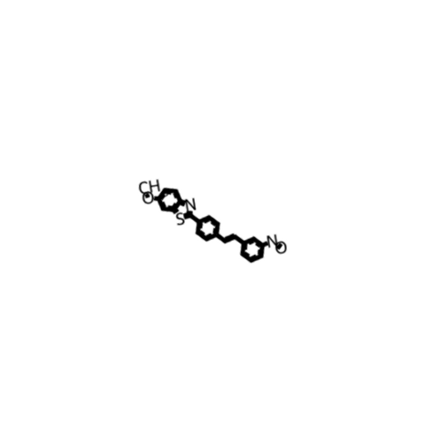 COc1ccc2nc(-c3ccc(/C=C/c4cccc(N=O)c4)cc3)sc2c1